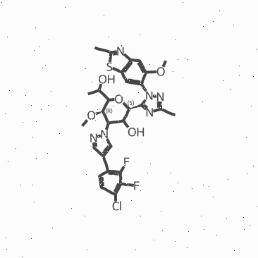 COc1cc2nc(C)sc2cc1-n1nc(C)nc1[C@@H]1OC(C(C)O)[C@H](OC)C(n2cc(-c3ccc(Cl)c(F)c3F)cn2)C1O